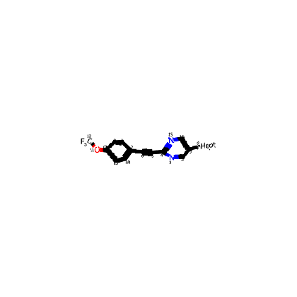 CCCCCCCc1cnc(C#Cc2ccc(OC(F)(F)F)cc2)nc1